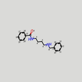 O=C(NCCCCNCc1ccccc1)c1ccccc1